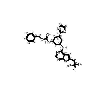 O=C(N[C@@H]1C[C@H](Nc2ncnc3sc(CC(F)(F)F)cc23)C[C@H](c2ncco2)C1)OCc1ccccc1